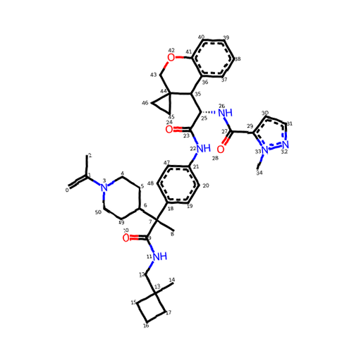 C=C(C)N1CCC(C(C)(C(=O)NCC2(C)CCC2)c2ccc(NC(=O)[C@@H](NC(=O)c3ccnn3C)C3c4ccccc4OCC34CC4)cc2)CC1